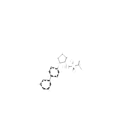 CC(C)S(=O)(=O)N[C@@H]1CCC[C@@H]1c1ccc(-c2ccccc2)cc1